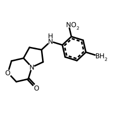 Bc1ccc(NC2CC3COCC(=O)N3C2)c([N+](=O)[O-])c1